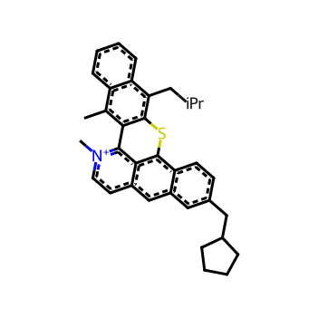 Cc1c2c(c(CC(C)C)c3ccccc13)Sc1c3ccc(CC4CCCC4)cc3cc3cc[n+](C)c-2c13